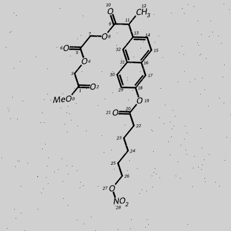 COC(=O)COC(=O)COC(=O)C(C)c1ccc2cc(OC(=O)CCCCCO[N+](=O)[O-])ccc2c1